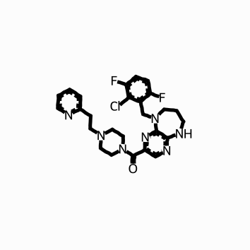 O=C(c1cnc2c(n1)N(Cc1c(F)ccc(F)c1Cl)CCCN2)N1CCN(CCc2ccccn2)CC1